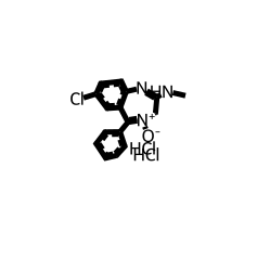 CNC1=Nc2ccc(Cl)cc2C(c2ccccc2)=[N+]([O-])C1.Cl.Cl